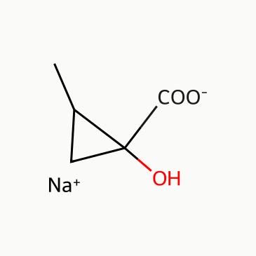 CC1CC1(O)C(=O)[O-].[Na+]